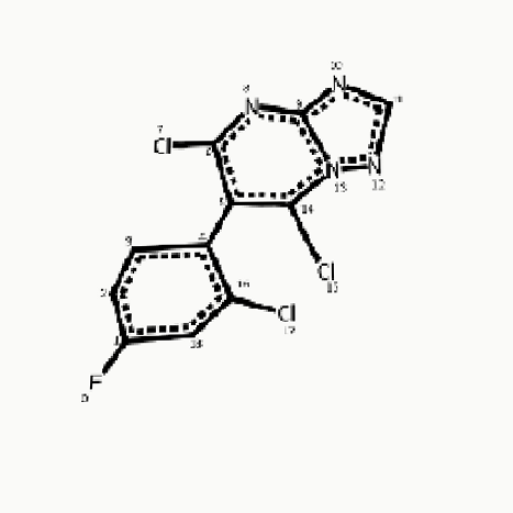 Fc1ccc(-c2c(Cl)nc3ncnn3c2Cl)c(Cl)c1